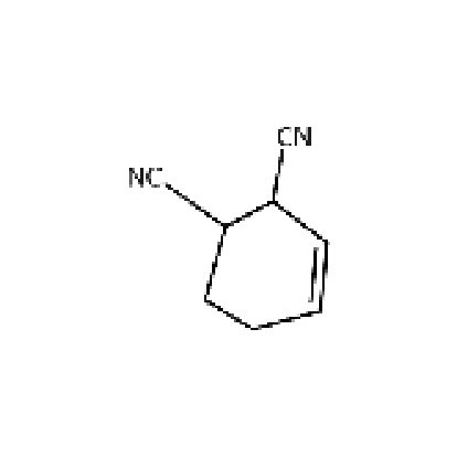 N#CC1C=CCCC1C#N